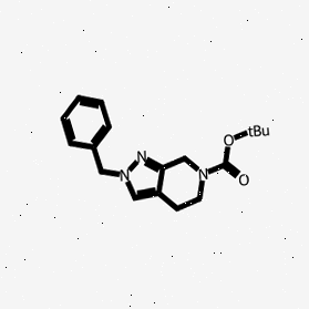 CC(C)(C)OC(=O)N1CCc2cn(Cc3ccccc3)nc2C1